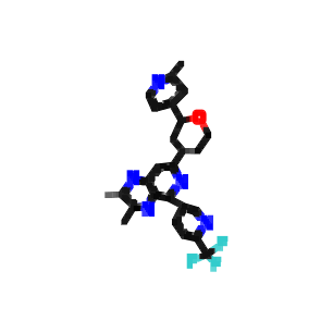 Cc1cc(C2CC(c3cc4nc(C)c(C)nc4c(-c4ccc(C(F)(F)F)nc4)n3)CCO2)ccn1